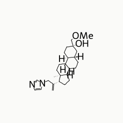 C=C(Cn1ccnc1)[C@H]1CC[C@H]2[C@@H]3CC[C@H]4C[C@](O)(COC)CC[C@@H]4[C@H]3CC[C@]12C